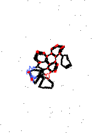 c1ccc(-c2ccccc2-c2ccc3oc4ccccc4c3c2-c2c(-c3ccccc3)cccc2-c2nnnc(-c3ccccc3)c2-c2ccccc2-c2ccccc2)cc1